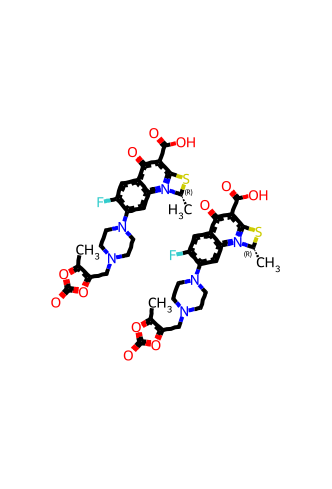 Cc1oc(=O)oc1CN1CCN(c2cc3c(cc2F)c(=O)c(C(=O)O)c2n3[C@@H](C)S2)CC1.Cc1oc(=O)oc1CN1CCN(c2cc3c(cc2F)c(=O)c(C(=O)O)c2n3[C@@H](C)S2)CC1